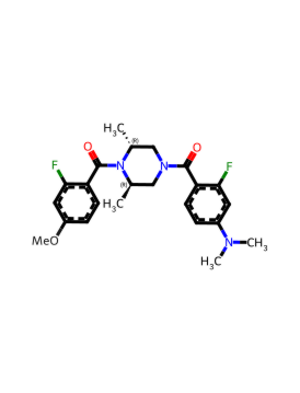 COc1ccc(C(=O)N2[C@H](C)CN(C(=O)c3ccc(N(C)C)cc3F)C[C@H]2C)c(F)c1